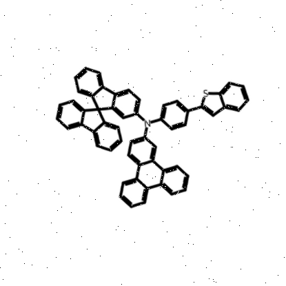 c1ccc2c(c1)-c1ccccc1C21c2ccccc2-c2ccc(N(c3ccc(-c4cc5ccccc5s4)cc3)c3ccc4c5ccccc5c5ccccc5c4c3)cc21